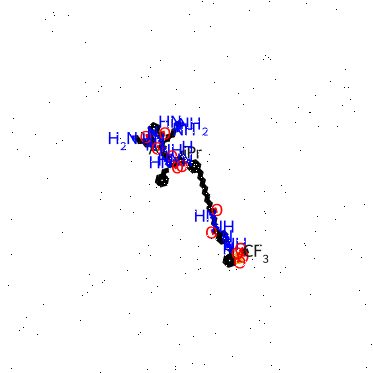 CC(=O)N(CCCCN)CC(=O)N1CCC[C@H]1C(=O)N[C@@H](CCCCNC(=N)N)C(=O)NCC(=O)N[C@@H](CCc1ccccc1)C(=O)N[C@@H](CC(C)C)C(=O)Nc1ccc(CCCCCCCCCCC(=O)NCCNC(=O)c2ccc(N/N=C/c3ccccc3S(=O)(=O)OC(=O)C(F)(F)F)nc2)cc1